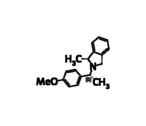 COc1ccc([C@@H](C)N2Cc3ccccc3C2C)cc1